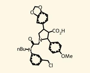 CCCCN(C(=O)CN1CC(c2ccc3c(c2)OCO3)C(C(=O)O)C1c1ccc(OC)cc1)c1cccc(CCl)c1